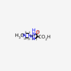 CN1CCN(c2ncc(C(=O)O)c(=O)[nH]2)CC1